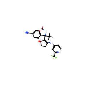 CC(C)(C)C(NC(=O)O)(C1=C(Nc2ccnc(C(F)(F)F)c2)CCC1=O)c1ccc(C#N)cc1